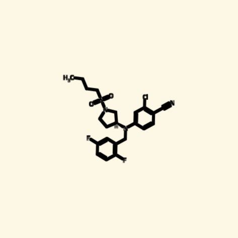 CCCCS(=O)(=O)N1CC[C@H](N(Cc2cc(F)ccc2F)c2ccc(C#N)c(Cl)c2)C1